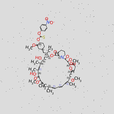 CO[C@H]1C[C@@H]2CC[C@@H](C)[C@@](O)(O2)C(=O)C(=O)N2CCCC[C@H]2C(=O)O[C@H]([C@H](C)C[C@@H]2CC[C@@H](OC(=S)Oc3ccc([N+](=O)[O-])cc3)[C@H](OC)C2)C[C@@H](O)[C@H](C)/C=C(\C)[C@@H](O)[C@@H](OC)C(=O)[C@H](C)C[C@H](C)/C=C/C=C/C=C/1C